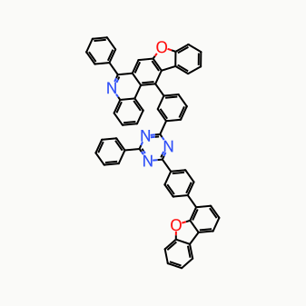 c1ccc(-c2nc(-c3ccc(-c4cccc5c4oc4ccccc45)cc3)nc(-c3cccc(-c4c5c(cc6c(-c7ccccc7)nc7ccccc7c46)oc4ccccc45)c3)n2)cc1